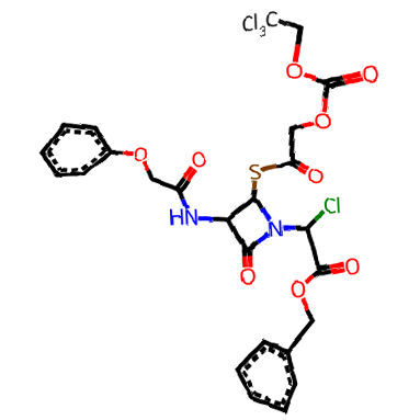 O=C(COc1ccccc1)NC1C(=O)N(C(Cl)C(=O)OCc2ccccc2)C1SC(=O)COC(=O)OCC(Cl)(Cl)Cl